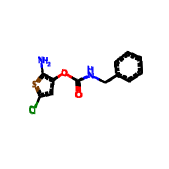 Nc1sc(Cl)cc1OC(=O)NCc1ccccc1